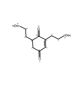 CCCCCCCCCCCCC1=CC(=O)CC(CCCCCCCCCCCC)C1=O